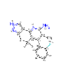 CC1(C)Cc2n[nH]cc2-c2nc(N)c(C#N)c(-c3ccccc3F)c21